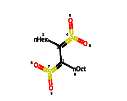 CCCCCCCCC(C(CCCCCC)=S(=O)=O)=S(=O)=O